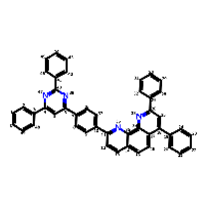 c1ccc(-c2cc(-c3ccc(-c4ccc5ccc6c(-c7ccccc7)cc(-c7ccccc7)nc6c5n4)cc3)nc(-c3ccccc3)n2)cc1